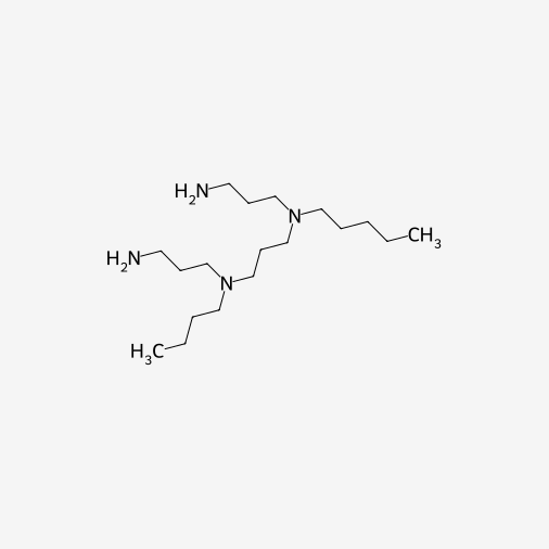 CCCCCN(CCCN)CCCN(CCCC)CCCN